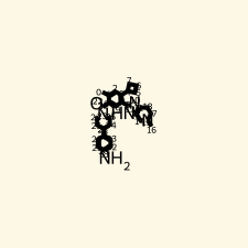 Cc1cc(C2CCC2)c(-c2nc3c([nH]2)CN(C)CC3)cc1C(=O)N1CCC(c2ccc(N)cc2)CC1